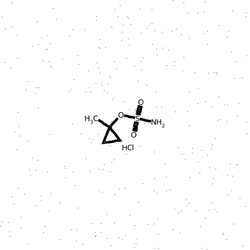 CC1(OS(N)(=O)=O)CC1.Cl